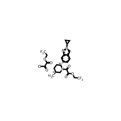 C[C@H]1CC[C@H](c2ccc3cn(C4CC4)nc3c2)N(C(=O)C(=O)OCC(F)(F)F)C1.O=C(Cl)C(=O)OCC(F)(F)F